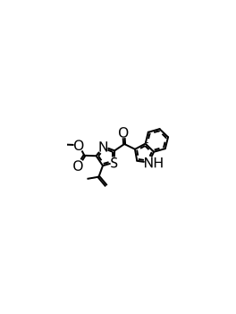 C=C(C)c1sc(C(=O)c2c[nH]c3ccccc23)nc1C(=O)OC